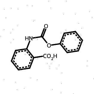 O=C(Nc1ccccc1C(=O)O)Oc1ccccc1